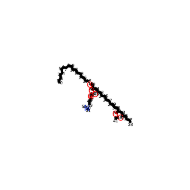 CCCCC/C=C\C/C=C\CCCCCCCCOCC(CCCCCCCCC=CCC(CCCCCC)OC(C)=O)OC(=O)OCCCN(C)C